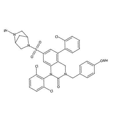 COc1ccc(CN2Cc3c(-c4ccccc4Cl)cc(S(=O)(=O)N4CC5CC4CN5C(C)C)cc3N(c3c(Cl)cccc3Cl)C2=O)cc1